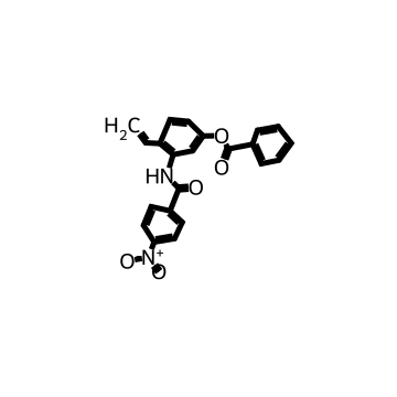 C=Cc1ccc(OC(=O)c2ccccc2)cc1NC(=O)c1ccc([N+](=O)[O-])cc1